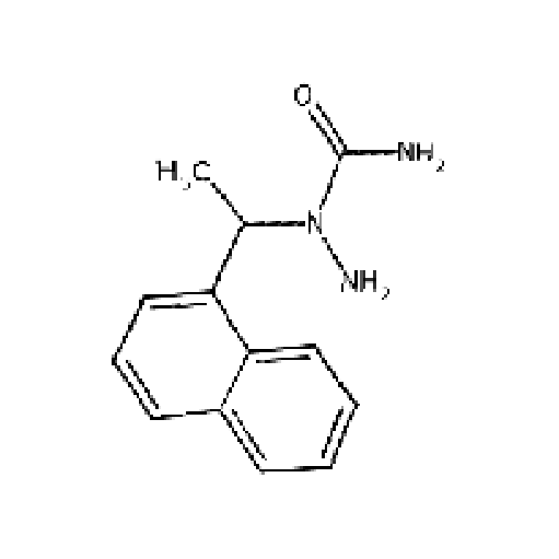 CC(c1cccc2ccccc12)N(N)C(N)=O